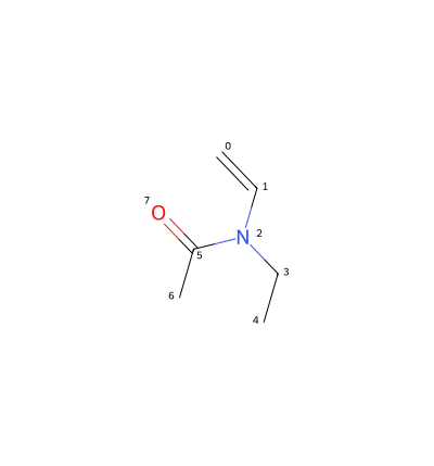 C=CN(CC)C(C)=O